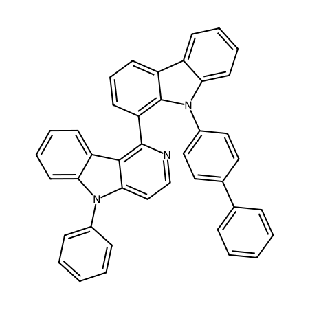 c1ccc(-c2ccc(-n3c4ccccc4c4cccc(-c5nccc6c5c5ccccc5n6-c5ccccc5)c43)cc2)cc1